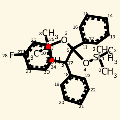 C[Si](C)(C)OC(O[Si](C)(C)C)(c1ccccc1)C(c1ccccc1)c1ccc(F)cc1